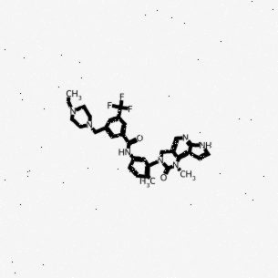 CCN1CCN(Cc2cc(C(=O)Nc3ccc(C)c(N4Cc5cnc6[nH]ccc6c5N(C)C4=O)c3)cc(C(F)(F)F)c2)CC1